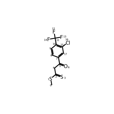 CSC(=S)CC(=O)c1ccc(C(F)(F)F)c(Cl)c1